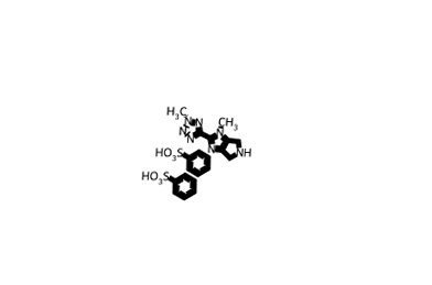 Cn1nnc(-c2nc3c(n2C)CNC3)n1.O=S(=O)(O)c1ccccc1.O=S(=O)(O)c1ccccc1